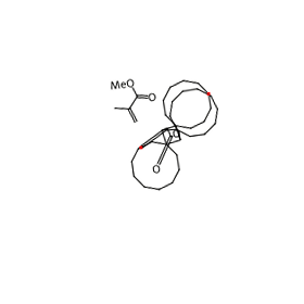 C=C(C)C(=O)OC.C=C1C(=O)OC23C4(CCCCCCCCC4)C1(C21CCCCCCCCC1)C31CCCCCCCCC1